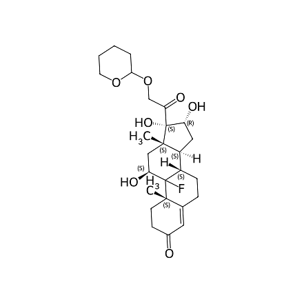 C[C@]12CCC(=O)C=C1CC[C@H]1[C@@H]3C[C@@H](O)[C@](O)(C(=O)COC4CCCCO4)[C@@]3(C)C[C@H](O)C12F